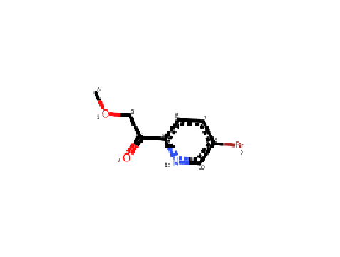 COCC(=O)c1ccc(Br)cn1